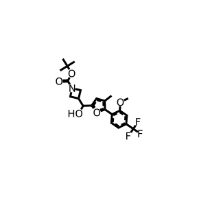 COc1cc(C(F)(F)F)ccc1-c1oc(C(O)C2CN(C(=O)OC(C)(C)C)C2)cc1C